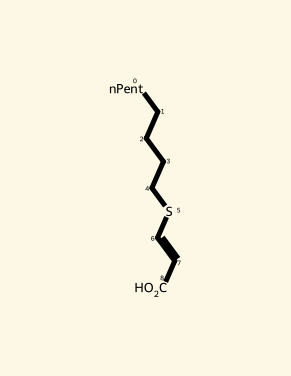 CCCCCCCCCSC=CC(=O)O